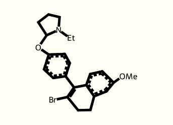 CCN1CCCC1Oc1ccc(C2=C(Br)CCc3cc(OC)ccc32)cc1